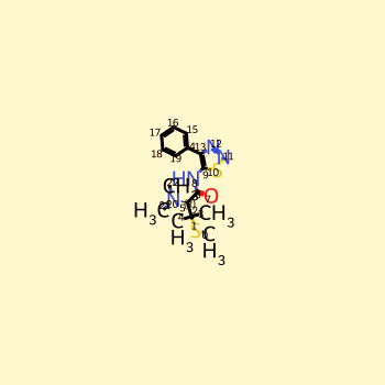 CSC(C)(C)[C@@H](C(=O)Nc1snnc1-c1ccccc1)N(C)C